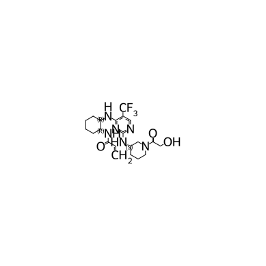 C=CC(=O)N[C@@H]1CCCC[C@H]1Nc1nc(N[C@H]2CCCN(C(=O)CO)C2)ncc1C(F)(F)F